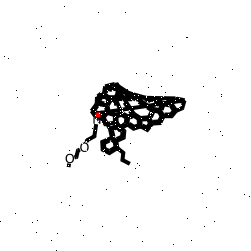 CCCc1cccc2c(C3N(CCOCCOC)CC4C5=c6c7c8c9c(cc%10cc%11cc%12cc%13cc%14c%15c(c6c6c7c7c9c%10c9c%11c%12c%10c%13c%15c6c%10c97)=C(C5)C%14)CC843)cccc12